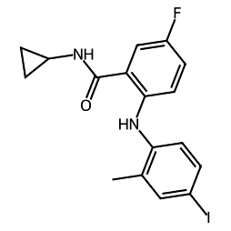 Cc1cc(I)ccc1Nc1ccc(F)cc1C(=O)NC1CC1